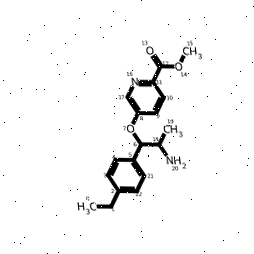 CCc1ccc(C(Oc2ccc(C(=O)OC)nc2)C(C)N)cc1